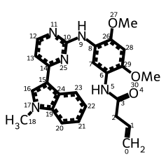 C=CCC(=O)Nc1cc(Nc2nccc(-c3cn(C)c4ccccc34)n2)c(OC)cc1OC